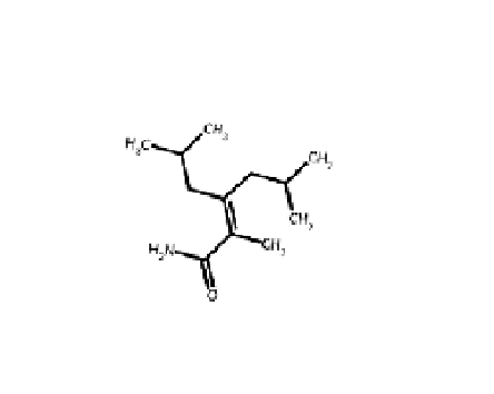 CC(C(N)=O)=C(CC(C)C)CC(C)C